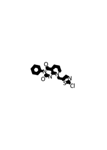 O=c1nc2n(Cc3cnc(Cl)s3)cccc-2c(=O)n1-c1ccccc1